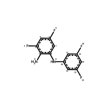 Nc1c(F)cc(F)cc1Nc1cc(F)cc(F)c1